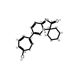 O=C1N=C2C=CC(C3=CCC(Cl)=CC=C3)=CN2C12CCCCC2